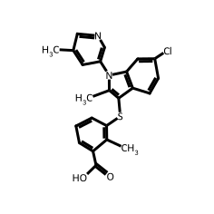 Cc1cncc(-n2c(C)c(Sc3cccc(C(=O)O)c3C)c3ccc(Cl)cc32)c1